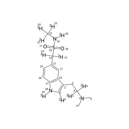 [2H]c1c(CC([2H])([2H])N(C)C)c2cc(C([2H])([2H])S(=O)(=O)N([2H])C([2H])([2H])[2H])ccc2n1[2H]